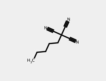 CCCCCC(C#N)(C#N)C#N